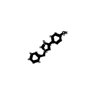 Oc1ccc(-c2cn(Cc3ccccc3)cn2)cc1